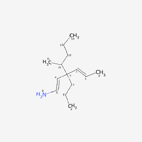 CC=CC(C=CN)(CCC)C(C)CCC